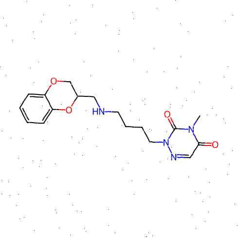 Cn1c(=O)cnn(CCCCNCC2COc3ccccc3O2)c1=O